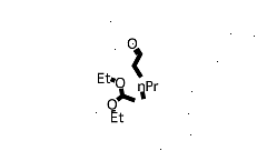 CCC=O.CCCC.CCOC(C)OCC